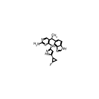 C[C@@H](c1ccc2[nH]cnc2c1)c1cnc(N)nc1Nc1cc([C@H]2C[C@@H]2F)[nH]n1